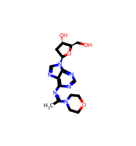 CC(=Nc1ncnc2c1ncn2[C@H]1C[C@H](O)[C@@H](CO)O1)N1CCOCC1